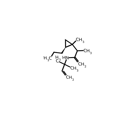 C=CC(C)(C)NC(=C)C(C)C1(C)C[C@@H]1CCC